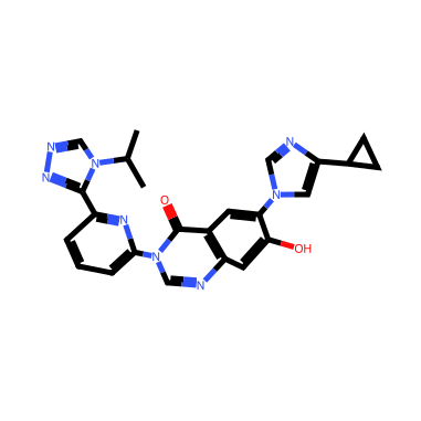 CC(C)n1cnnc1-c1cccc(-n2cnc3cc(O)c(-n4cnc(C5CC5)c4)cc3c2=O)n1